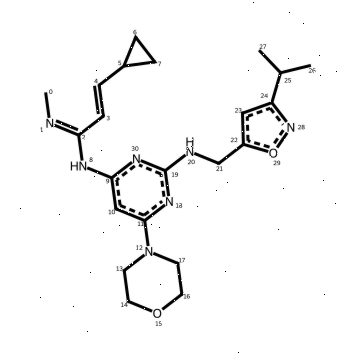 C/N=C(\C=C\C1CC1)Nc1cc(N2CCOCC2)nc(NCc2cc(C(C)C)no2)n1